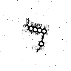 CC(O)Nc1ccc(C#Cc2ccc(O)c3c2C[C@H]2C[C@H]4CC(O)=C(C(N)=O)C(=O)[C@@]4(O)C(O)=C2C3=O)cc1